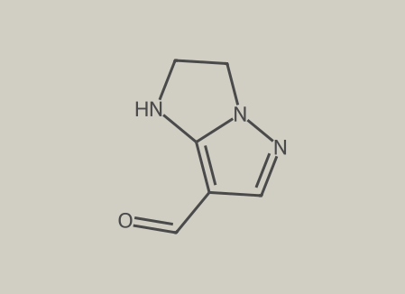 O=Cc1cnn2c1NCC2